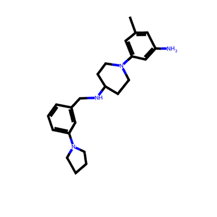 Cc1cc(N)cc(N2CCC(NCc3cccc(N4CCCC4)c3)CC2)c1